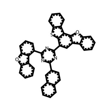 c1ccc2cc(-c3nc(-c4cc5c6ccccc6oc5c5c4sc4ccccc45)nc(-c4cccc5oc6ccccc6c45)n3)ccc2c1